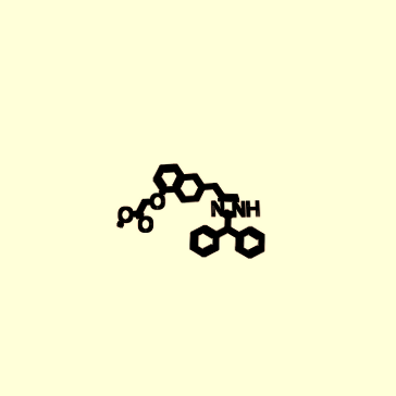 COC(=O)COc1cccc2c1CCC(Cc1c[nH]c(C(c3ccccc3)c3ccccc3)n1)C2